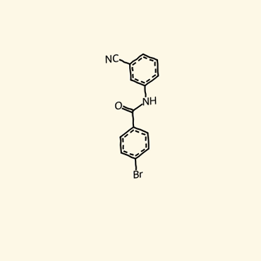 N#Cc1cccc(NC(=O)c2ccc(Br)cc2)c1